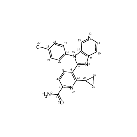 NC(=O)c1ccc(-c2nc3ccncc3n2-c2ccc(Cl)cc2)c(C2CC2)n1